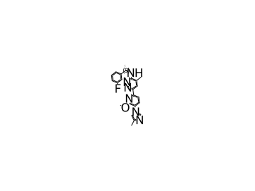 COc1nc(-c2cc(C)c(N[C@@H](C)c3cccc(F)c3)nn2)ccc1-n1cnc(C)c1